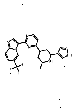 CC1CN(c2ccnc(-c3cnc4cnc(C(F)(F)F)cn34)n2)CC(c2cn[nH]c2)N1